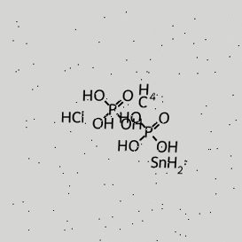 C.Cl.O=P(O)(O)O.O=P(O)(O)O.[SnH2]